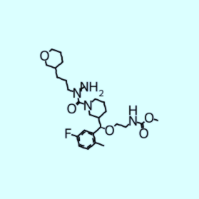 COC(=O)NCCO[C@@H](c1cc(F)ccc1C)C1CCCN(C(=O)N(N)CCCC2CCCOC2)C1